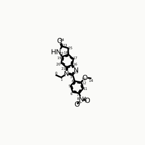 CCn1c(-c2ccc([N+](=O)[O-])cc2OC)nc2cc3c(cc21)NC(=O)C3